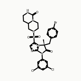 C[C@@]1(Cc2ccc(Br)cc2)C(=O)N(c2cc(Cl)cc(Cl)c2)c2ncc(S(=O)(=O)N3CCN4C(=O)NCCC4C3)n21